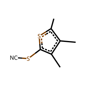 Cc1sc(SC#N)c(C)c1C